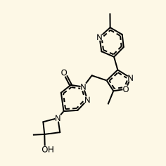 Cc1ccc(-c2noc(C)c2Cn2ncc(N3CC(C)(O)C3)cc2=O)cn1